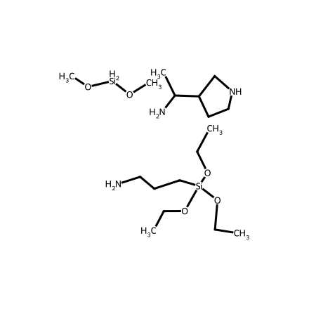 CC(N)C1CCNC1.CCO[Si](CCCN)(OCC)OCC.CO[SiH2]OC